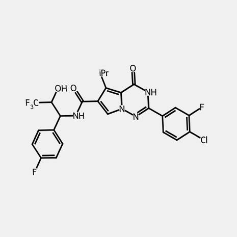 CC(C)c1c(C(=O)NC(c2ccc(F)cc2)C(O)C(F)(F)F)cn2nc(-c3ccc(Cl)c(F)c3)[nH]c(=O)c12